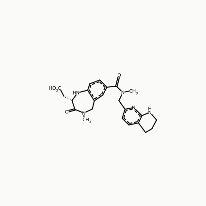 CN(Cc1ccc2c(n1)NCCC2)C(=O)c1ccc2c(c1)CN(C)C(=O)[C@H](CC(=O)O)N2